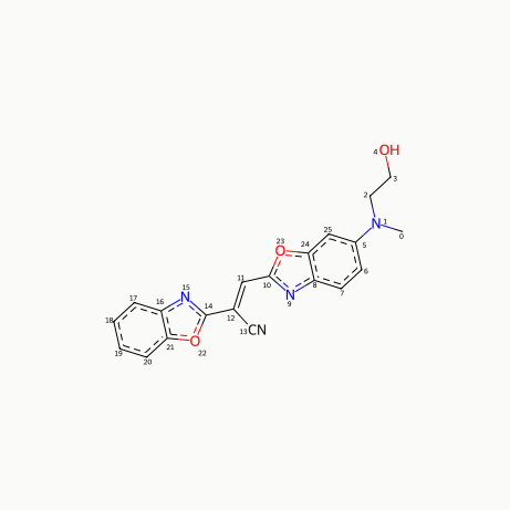 CN(CCO)c1ccc2nc(/C=C(\C#N)c3nc4ccccc4o3)oc2c1